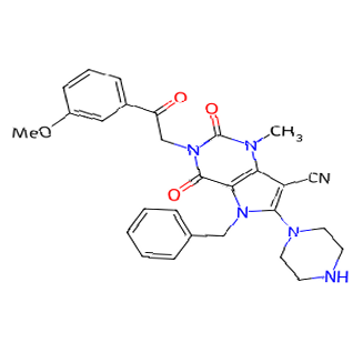 COc1cccc(C(=O)Cn2c(=O)c3c(c(C#N)c(N4CCNCC4)n3Cc3ccccc3)n(C)c2=O)c1